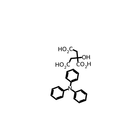 O=C(O)CC(O)(CC(=O)O)C(=O)O.c1ccc(N(c2ccccc2)c2ccccc2)cc1